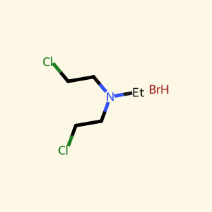 Br.CCN(CCCl)CCCl